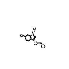 O=COc1c[nH]c2cc(Cl)ccc12